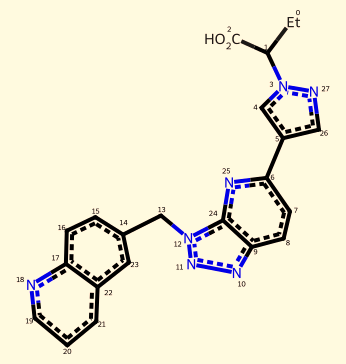 CCC(C(=O)O)n1cc(-c2ccc3nnn(Cc4ccc5ncccc5c4)c3n2)cn1